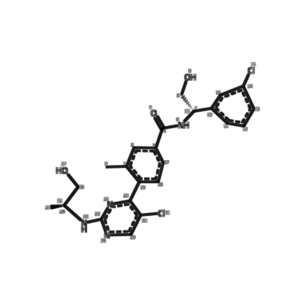 Cc1cc(C(=O)N[C@H](CO)c2cccc(Cl)c2)ccc1-c1nc(N[C@@H](C)CO)ncc1Cl